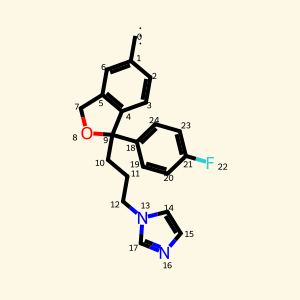 [C]c1ccc2c(c1)COC2(CCCn1ccnc1)c1ccc(F)cc1